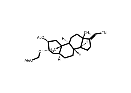 COCO[C@H]1C[C@@H]2CC[C@@H]3[C@H](CC[C@]4(C)C(=CC#N)CC[C@@H]34)[C@@]2(C)C[C@@H]1OC(C)=O